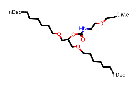 CCCCCCCCCCCCCCCCOCC(COCCCCCCCCCCCCCCCC)OC(=O)NCCOCCOC